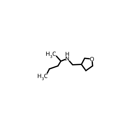 CCCC(C)NCC1CCOC1